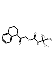 CC(C)(C)NC(=O)OCC(=O)N1CCCc2ccccc21